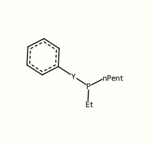 CCCCC[P](CC)[Y][c]1ccccc1